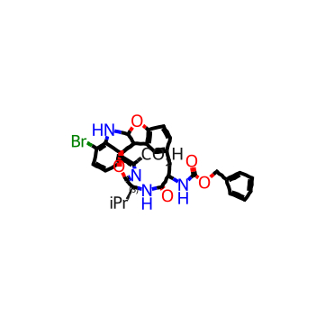 CC(C)[C@@H]1NC(=O)C(NC(=O)OCc2ccccc2)Cc2ccc3c(c2)C2(c4cccc(Br)c4NC2O3)c2oc1nc2C(=O)O